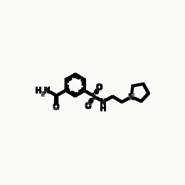 NC(=O)c1cccc(S(=O)(=O)NCCN2CCCC2)c1